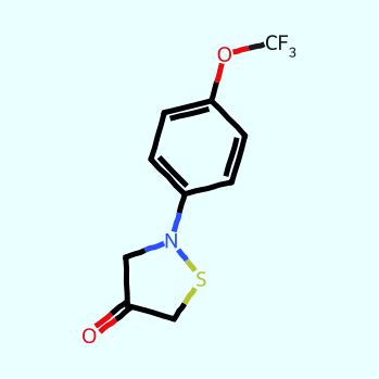 O=C1CSN(c2ccc(OC(F)(F)F)cc2)C1